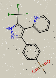 CS(=O)(=O)c1ccc(-c2n[nH]c(C(F)(F)F)c2-c2ccccn2)cc1